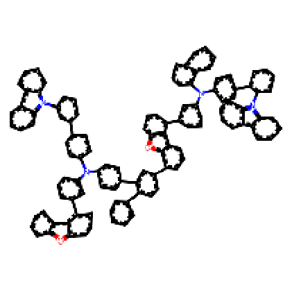 c1ccc(-c2ccc(-c3cccc4c3oc3cccc(-c5cccc(N(c6ccc(-c7ccccc7-n7c8ccccc8c8ccccc87)cc6)c6cccc7ccccc67)c5)c34)cc2-c2ccc(N(c3ccc(-c4cccc(-n5c6ccccc6c6ccccc65)c4)cc3)c3cccc(-c4cccc5oc6ccccc6c45)c3)cc2)cc1